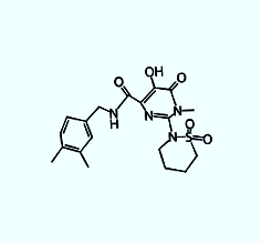 Cc1ccc(CNC(=O)c2nc(N3CCCCS3(=O)=O)n(C)c(=O)c2O)cc1C